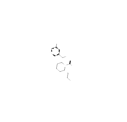 CCC[C@H]1CCC[C@H](C(O)c2cncc(F)c2)N1C(=O)O